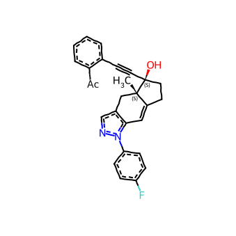 CC(=O)c1ccccc1C#C[C@]1(O)CCC2=Cc3c(cnn3-c3ccc(F)cc3)C[C@@]21C